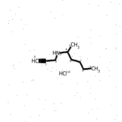 C#CCNC(C)CCCC.Cl